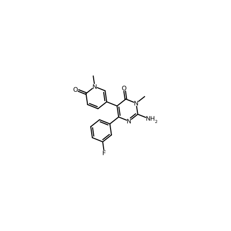 Cn1cc(-c2c(-c3cccc(F)c3)nc(N)n(C)c2=O)ccc1=O